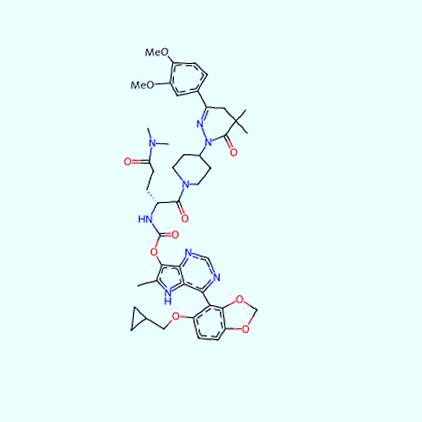 COc1ccc(C2=NN(C3CCN(C(=O)[C@@H](CCC(=O)N(C)C)NC(=O)Oc4c(C)[nH]c5c(-c6c(OCC7CC7)ccc7c6OCO7)ncnc45)CC3)C(=O)C(C)(C)C2)cc1OC